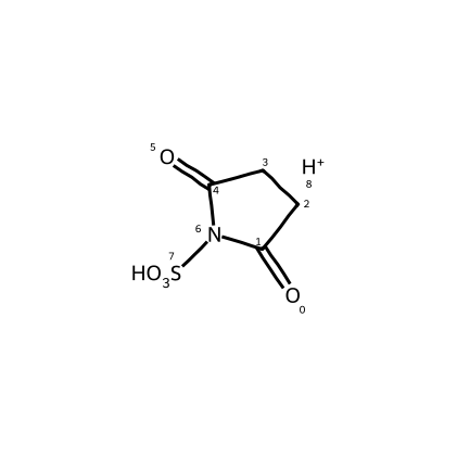 O=C1CCC(=O)N1S(=O)(=O)O.[H+]